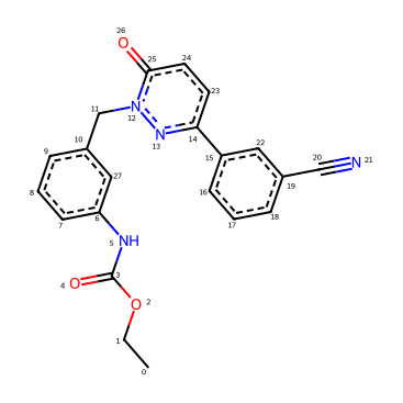 CCOC(=O)Nc1cccc(Cn2nc(-c3cccc(C#N)c3)ccc2=O)c1